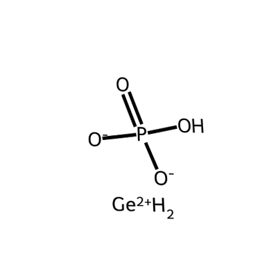 O=P([O-])([O-])O.[GeH2+2]